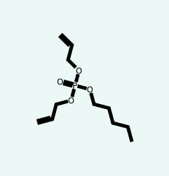 C=CCOP(=O)(OCC=C)OCCCCC